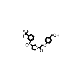 O=C(COc1ccc(CO)cc1)N1CCC([S+]([O-])c2cccc(C(F)(F)F)c2)C1